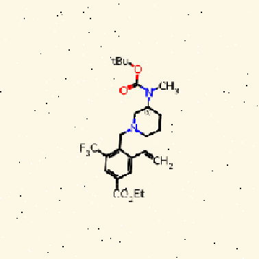 C=Cc1cc(C(=O)OCC)cc(C(F)(F)F)c1CN1CCC[C@H](N(C)C(=O)OC(C)(C)C)C1